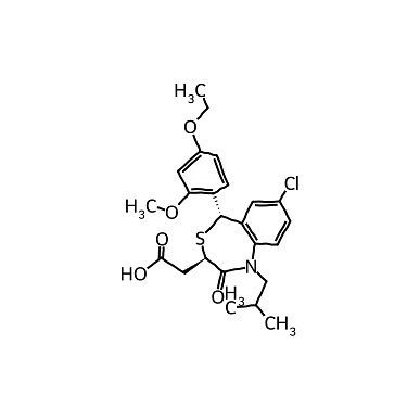 CCOc1ccc([C@H]2S[C@H](CC(=O)O)C(=O)N(CC(C)C)c3ccc(Cl)cc32)c(OC)c1